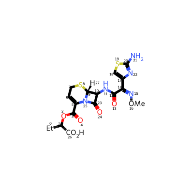 CCC(OC(=O)C1=CCS[C@@H]2C(NC(=O)/C(=N\OC)c3csc(N)n3)C(=O)N12)C(=O)O